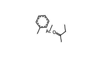 CC(C)=O.CCC(C)=O.Cc1ccccc1